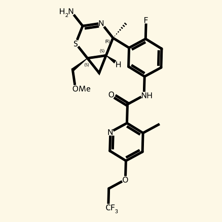 COC[C@]12C[C@H]1[C@](C)(c1cc(NC(=O)c3ncc(OCC(F)(F)F)cc3C)ccc1F)N=C(N)S2